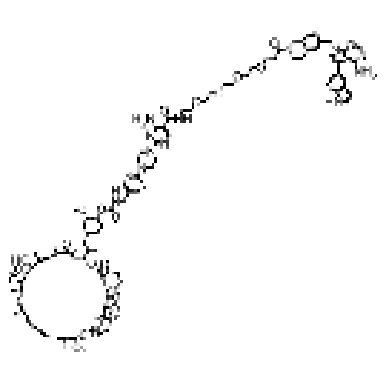 CO[C@H]1C[C@@H]2CC[C@@H](C)[C@@](O)(O2)C(=O)C(=O)N2CCCC[C@H]2C(=O)O[C@H]([C@H](C)C[C@@H]2CC[C@@H](OC(=O)NCc3cnc(N4CCN(c5ncc(C(=O)NCCOCCOCCOCCOCCC(=O)N6CCc7cc(Cn8nc(-c9cnc%10[nH]ccc%10c9)c9c(N)ncnc98)ccc7C6)c(N)n5)CC4)nc3)[C@H](OC)C2)CC(=O)[C@H](C)/C=C(\C)[C@@H](O)[C@@H](OC)C(=O)[C@H](C)C[C@H](C)/C=C/C=C/C=C/1C